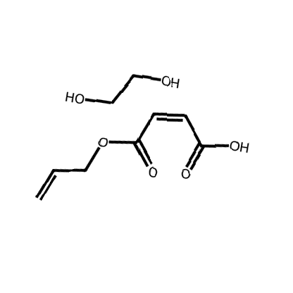 C=CCOC(=O)/C=C\C(=O)O.OCCO